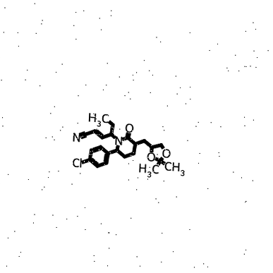 CCC(/C=C/C#N)N1C(=O)C(CC2COC(C)(C)O2)CCC1c1ccc(Cl)cc1